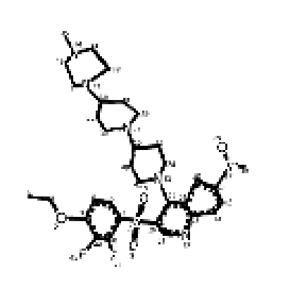 CCOc1ccc(S(=O)(=O)c2cnc3ccc([S+](C)[O-])cc3c2N2CCC(N3CCC(N4CCN(C)CC4)CC3)CC2)c(F)c1F